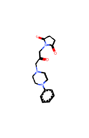 O=C(CN1CCN(c2ccccc2)CC1)CN1C(=O)CCC1=O